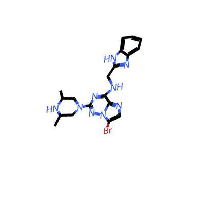 CC1CN(c2nc(NCc3nc4ccccc4[nH]3)c3ncc(Br)n3n2)CC(C)N1